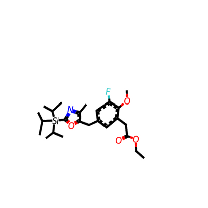 CCOC(=O)Cc1cc(Cc2oc([Si](C(C)C)(C(C)C)C(C)C)nc2C)cc(F)c1OC